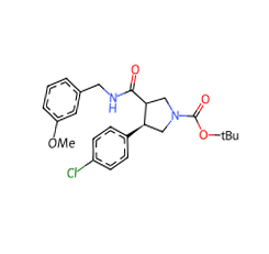 COc1cccc(CNC(=O)C2CN(C(=O)OC(C)(C)C)C[C@H]2c2ccc(Cl)cc2)c1